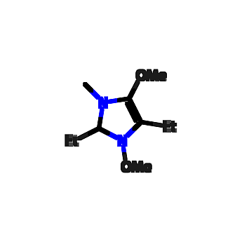 CCC1=C(OC)N(C)C(CC)N1OC